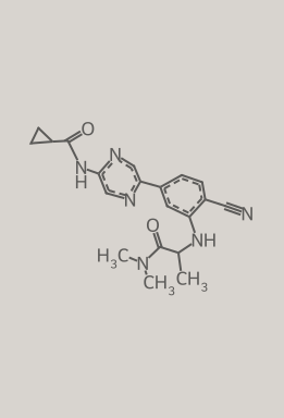 CC(Nc1cc(-c2cnc(NC(=O)C3CC3)cn2)ccc1C#N)C(=O)N(C)C